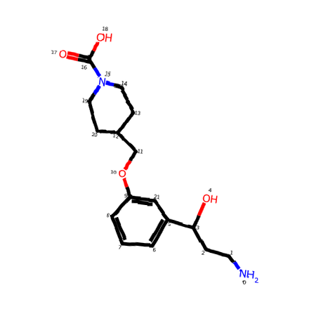 NCCC(O)c1cccc(OCC2CCN(C(=O)O)CC2)c1